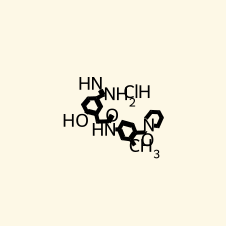 Cc1cc(NC(=O)Cc2cc(C(=N)N)ccc2O)ccc1C(=O)N1CCCCC1.Cl